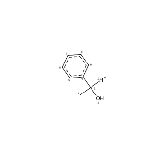 [2H]C(C)(O)c1ccccc1